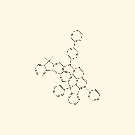 CC1(C)c2ccccc2-c2ccc(N(c3ccc(-c4ccccc4)cc3)c3ccc4cc(-c5ccccc5)c5c(c4c3)C(c3ccccc3)(c3ccccc3)c3ccccc3-5)cc21